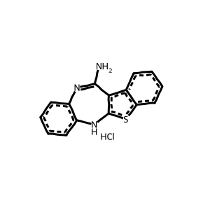 Cl.NC1=Nc2ccccc2Nc2sc3ccccc3c21